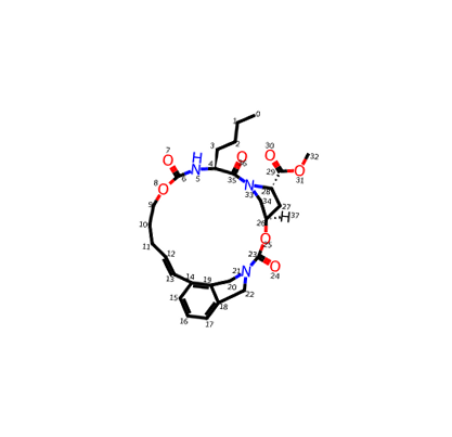 CCCC[C@@H]1NC(=O)OCCC/C=C/c2cccc3c2CN(C3)C(=O)O[C@@H]2C[C@@H](C(=O)OC)N(C2)C1=O